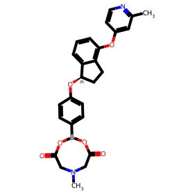 Cc1cc(Oc2cccc3c2CC[C@H]3Oc2ccc(B3OC(=O)CN(C)CC(=O)O3)cc2)ccn1